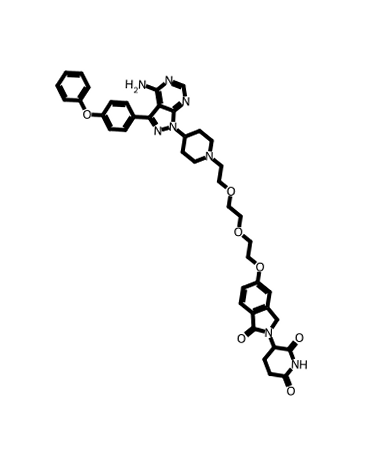 Nc1ncnc2c1c(-c1ccc(Oc3ccccc3)cc1)nn2C1CCN(CCOCCOCCOc2ccc3c(c2)CN(C2CCC(=O)NC2=O)C3=O)CC1